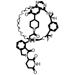 C[C@H]1Nc2ncnc3c2cc(C2CCN(C(=O)CNc4cccc5c4C(=O)N(C4CCC(=O)NC4=O)C5)CC2)c(=O)n3CCCOCCCCN2CC(C2)CC(F)(F)c2cccc1c2